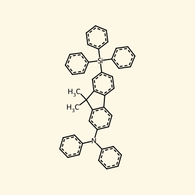 CC1(C)c2cc(N(c3ccccc3)c3ccccc3)ccc2-c2ccc([Si](c3ccccc3)(c3ccccc3)c3ccccc3)cc21